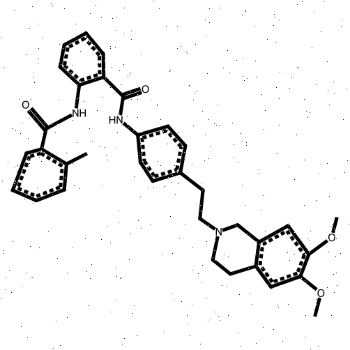 COc1cc2c(cc1OC)CN(CCc1ccc(NC(=O)c3ccccc3NC(=O)c3ccccc3C)cc1)CC2